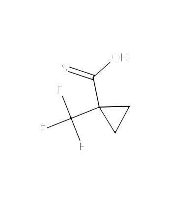 OC(=S)C1(C(F)(F)F)CC1